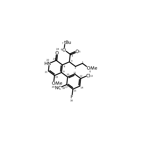 COCCC(C(=O)OC(C)(C)C)c1c(-c2cc(Cl)cc(F)c2C#N)c(OC)c[nH]c1=O